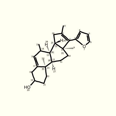 CC1=C(c2ccco2)[C@@]2(C)CC[C@@H]3[C@@H](C(C)C=C4CC(O)CC[C@@]43C)[C@@H]2C1